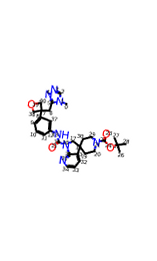 Cn1cnnc1CC1(c2cccc(NC(=O)N3CC4(CCN(C(=O)OC(C)(C)C)CC4)c4cccnc43)c2)COC1